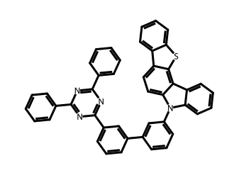 c1ccc(-c2nc(-c3ccccc3)nc(-c3cccc(-c4cccc(-n5c6ccccc6c6c7sc8ccccc8c7ccc65)c4)c3)n2)cc1